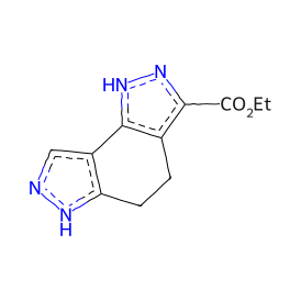 CCOC(=O)c1n[nH]c2c1CCc1[nH]ncc1-2